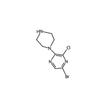 Clc1nc(Br)cnc1N1CCNCC1